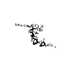 COCCN(C(=O)O)C(c1cnc(-c2cc3nccc(Oc4ccc([N+](=O)[O-])cc4F)c3s2)n1C)C(C)(C)C